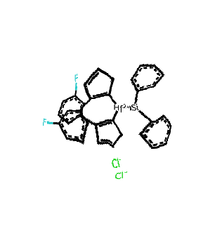 Fc1cccc(C2=[C]([Hf+2]([C]3=C(c4cccc(F)c4)C=CC3)=[Si](c3ccccc3)c3ccccc3)CC=C2)c1.[Cl-].[Cl-]